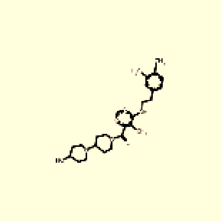 Cc1ccc(CCNc2ncnc(C(=O)N3CCC(N4CCC(O)CC4)CC3)c2C)cc1C